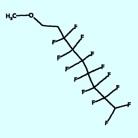 COCCC(F)(F)C(F)(F)C(F)(F)C(F)(F)C(F)(F)C(F)(F)C(F)F